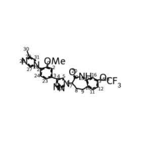 COc1cc(-c2cn(C3CCc4ccc(OC(F)(F)F)cc4NC3=O)nn2)ccc1-n1cnc(C)c1